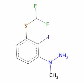 CN(N)c1cccc(SC(F)F)c1I